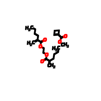 C=C(CCCC)C(=O)OCCOC(=O)C(=C)CCCC.COC(=O)C1=CCC1